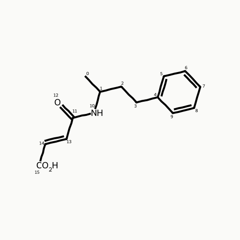 CC(CCc1ccccc1)NC(=O)C=CC(=O)O